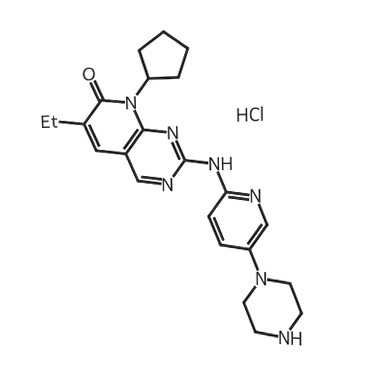 CCc1cc2cnc(Nc3ccc(N4CCNCC4)cn3)nc2n(C2CCCC2)c1=O.Cl